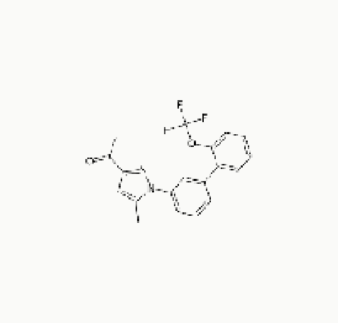 CC(=O)c1cc(C)n(-c2cccc(-c3ccccc3OC(F)(F)F)c2)n1